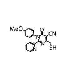 COc1ccc(-n2c(-c3ccccn3)nc(CS)c(C#N)c2=O)cc1